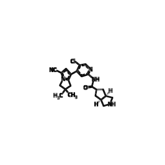 CC1(C)Cc2c(-c3cc(NC(=O)C4C[C@H]5CNC[C@H]5C4)ncc3Cl)cc(C#N)n2C1